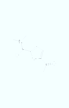 CC(=O)c1ccc(C(=O)N(C)C)s1